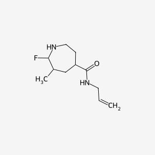 C=CCNC(=O)C1CCNC(F)C(C)C1